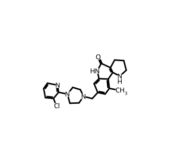 Cc1cc(CN2CCN(c3ncccc3Cl)CC2)cc2[nH]c(=O)c3c(c12)NCCC3